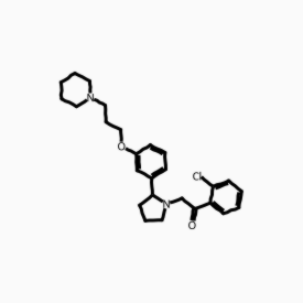 O=C(CN1CCCC1c1cccc(OCCCN2CCCCC2)c1)c1ccccc1Cl